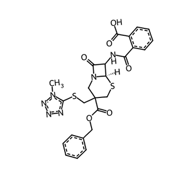 Cn1nnnc1SCC1(C(=O)OCc2ccccc2)CS[C@@H]2C(NC(=O)c3ccccc3C(=O)O)C(=O)N2C1